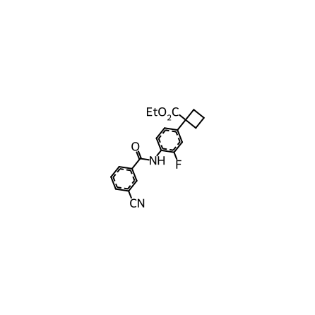 CCOC(=O)C1(c2ccc(NC(=O)c3cccc(C#N)c3)c(F)c2)CCC1